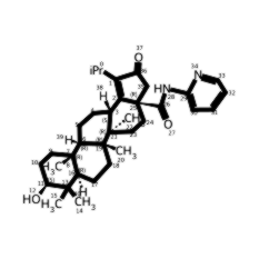 CC(C)C1=C2[C@H]3CC[C@@H]4[C@@]5(C)CC[C@H](O)C(C)(C)[C@@H]5CC[C@@]4(C)[C@]3(C)CC[C@@]2(C(=O)Nc2ccccn2)CC1=O